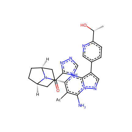 CC(=O)c1c([C@@H]2C[C@H]3CC[C@@H](C2)N3C(=O)c2nnc[nH]2)nc2c(-c3ccc([C@@H](C)O)nc3)cnn2c1N